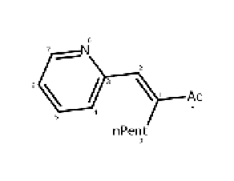 CCCCC/C(=C\c1ccccn1)C(C)=O